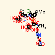 CCOc1cc2cc(C(=O)N3C[C@@H](CCl)c4c3cc(OS(=O)(=O)Oc3cc(C(=O)N(C)CCOCCn5cc(COCCN6C(=O)C=CC6=O)nn5)ccc3O[C@@H]3O[C@H](CO)[C@H](O)[C@H](O)[C@H]3O)c3ccc(OC)cc43)[nH]c2cc1O[C@@H]1O[C@H](CO)[C@H](O)[C@H](O)[C@H]1O